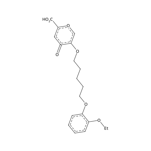 CCOc1ccccc1OCCCCCOc1coc(C(=O)O)cc1=O